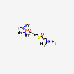 CC(C)N(C(C)C)P(OCOCCSC(=O)CCN(C)C)N(C(C)C)C(C)C